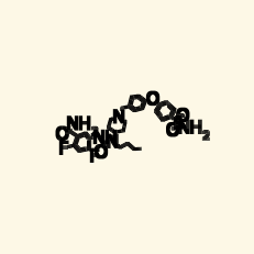 CCCCN(C(=O)Nc1cc(C(N)=O)c(F)cc1F)C1CCN(Cc2ccc(Oc3ccc(S(N)(=O)=O)cc3)cc2)CC1